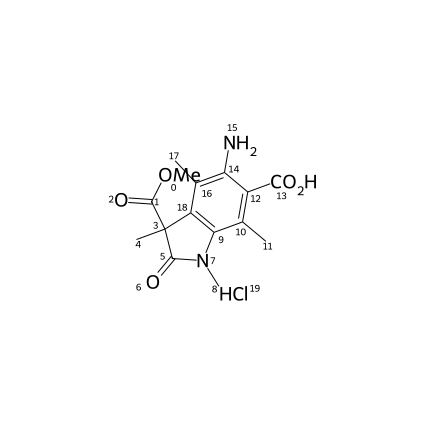 COC(=O)C1(C)C(=O)N(C)c2c(C)c(C(=O)O)c(N)c(C)c21.Cl